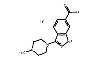 CN1CCN(c2n[nH]c3cc(C(=O)[O-])ccc23)CC1.[Li+]